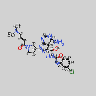 CCN(CC)CC=CC(=O)N1CC[C@@H](n2nc(C(=O)Nc3nc4cc(Cl)ccc4o3)c3c(N)ncnc32)C1